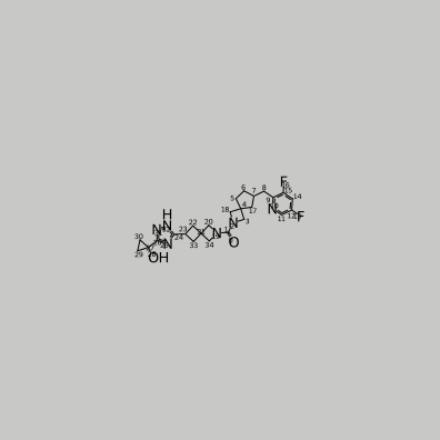 O=C(N1CC2(CCC(Cc3ncc(F)cc3F)C2)C1)N1CC2(CC(c3nc(C4(O)CC4)n[nH]3)C2)C1